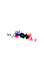 CC1(C)COC(c2ccc(-c3ccc(C(=O)O)cc3)cc2)=N1